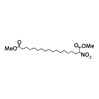 COC(=O)CCCCCCCCCCCCCCCC(C(=O)OC)[N+](=O)[O-]